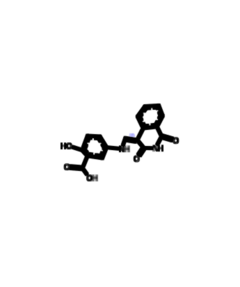 O=C1NC(=O)c2ccccc2/C1=C/Nc1ccc(O)c(C(=O)O)c1